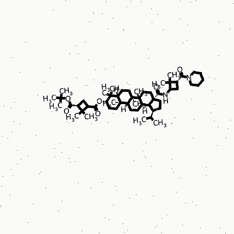 CC(C)[C@@H]1CC[C@]2(C(=O)NC3C[C@@H](C(=O)N4CCCCC4)C3(C)C)CC[C@]3(C)[C@H](CC[C@@H]4[C@@]5(C)CC[C@H](OC(=O)C6C[C@H](C(=O)OC(C)(C)C)C6(C)C)C(C)(C)[C@@H]5CC[C@]43C)C12